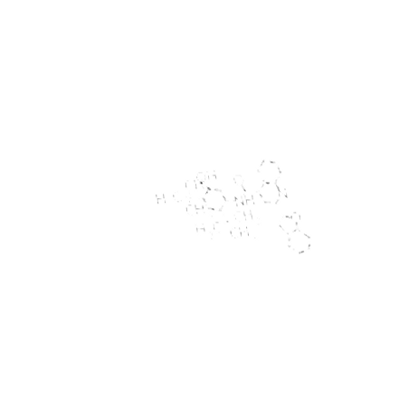 CC(C)(C)c1cc(C(C)(C)C)c(NC(=O)c2cc(-c3cc4ccccc4o3)nc3ccccc23)cc1O